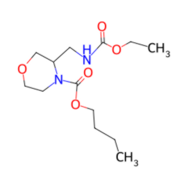 CCCCOC(=O)N1CCOCC1CNC(=O)OCC